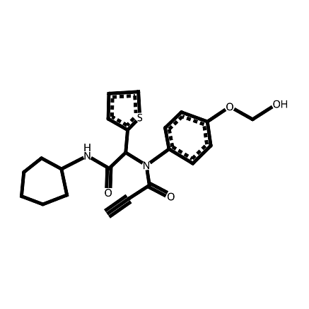 C#CC(=O)N(c1ccc(OCO)cc1)C(C(=O)NC1CCCCC1)c1cccs1